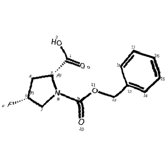 O=C(O)[C@H]1C[C@@H](F)CN1C(=O)OCc1ccccc1